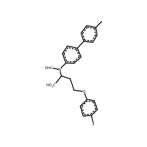 Cc1ccc(-c2ccc(N(C=O)C(CCOc3ccc(F)cc3)C(=O)O)cc2)cc1